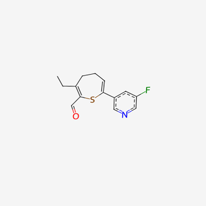 CCC1=C(C=O)SC(c2cncc(F)c2)=CCC1